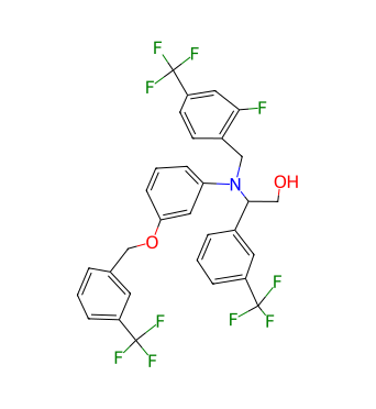 OCC(c1cccc(C(F)(F)F)c1)N(Cc1ccc(C(F)(F)F)cc1F)c1cccc(OCc2cccc(C(F)(F)F)c2)c1